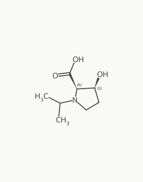 CC(C)N1CC[C@H](O)[C@@H]1C(=O)O